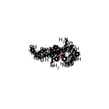 CC(O)[C@H](NC(=O)[C@H](Cc1ccccc1)NC(=O)[C@@H](NC(=O)[C@H](CCCCN)NC(=O)[C@H](Cc1c[nH]c2ccccc12)NC(=O)[C@H](Cc1ccccc1)NC(=O)[C@H](Cc1ccccc1)NC(=O)[C@H](CC(N)=O)NC(=O)[C@H](CCCCN)NC(=O)[C@H](CS)NC(=O)CNC(=O)[C@H](C)NC(=O)[C@H](Cc1ccc(O)cc1)NC(=O)CNC(=O)CN)C(C)O)C(=O)N[C@@H](CO)C(=O)N[C@@H](CS)C(=O)O